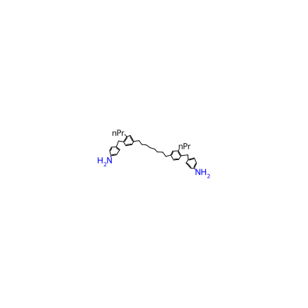 CCCc1cc(CCCCCCCCc2ccc(Cc3ccc(N)cc3)c(CCC)c2)ccc1Cc1ccc(N)cc1